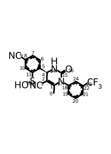 CC1=C(C#N)[C@@H](c2ccc(C#N)cc2SO)NC(=O)N1c1cccc(C(F)(F)F)c1